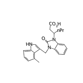 CCCC(CC(=O)O)n1c(=O)n(Cc2c[nH]c3cccc(C)c23)c2ccccc21